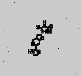 O=C1NC(=O)[C@@H](c2cc3cnc(C4=NCCN4)cc3o2)N1